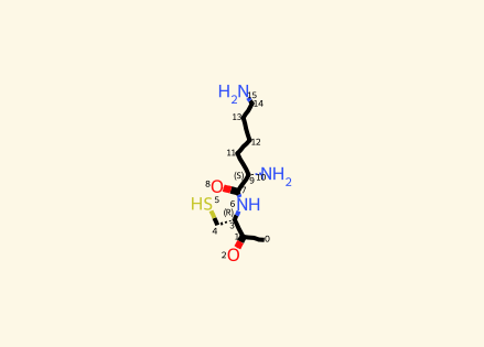 CC(=O)[C@H](CS)NC(=O)[C@@H](N)CCCCN